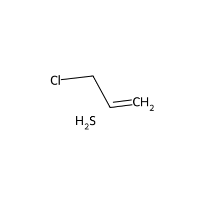 C=CCCl.S